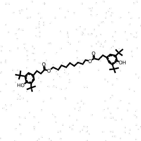 CC(C)(C)c1cc(CCC(=O)OCCCCCCCCCOC(=O)CCc2cc(C(C)(C)C)c(O)c(C(C)(C)C)c2)cc(C(C)(C)C)c1O